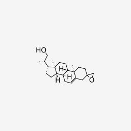 C[C@H](CO)[C@H]1CC[C@H]2[C@@H]3CC=C4CC5(CC[C@]4(C)[C@H]3CC[C@]12C)CO5